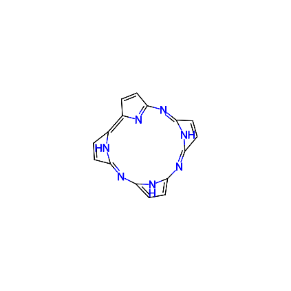 C1=Cc2nc1nc1ccc(nc3ccc(nc4ccc2[nH]4)[nH]3)[nH]1